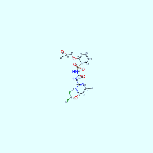 Cc1cc(OC(F)F)nc(NC(=O)NS(=O)(=O)c2ccccc2OCC2CO2)n1